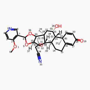 COc1ccncc1C1O[C@@H]2C[C@H]3[C@@H]4CCC5=CC(=O)C=C[C@]5(C)[C@H]4[C@@H](O)C[C@]3(C)[C@]2(C(=O)CC#N)O1